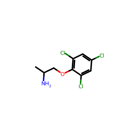 CC(N)COc1c(Cl)cc(Cl)cc1Cl